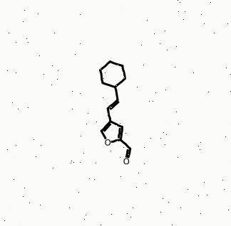 O=Cc1cc(C=CC2CCCCC2)co1